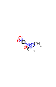 CC(C(=O)Nc1ccc([N+](=O)[O-])cc1)N1CCN(C)CC1